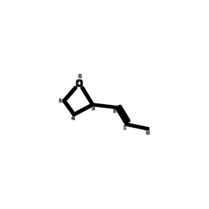 CC=CC1CCO1